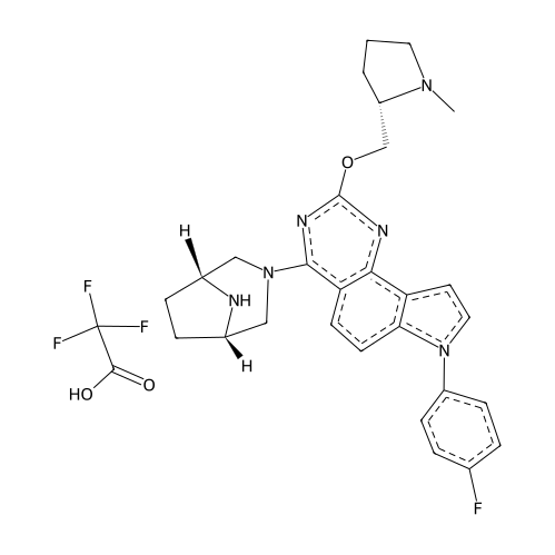 CN1CCC[C@H]1COc1nc(N2C[C@H]3CC[C@@H](C2)N3)c2ccc3c(ccn3-c3ccc(F)cc3)c2n1.O=C(O)C(F)(F)F